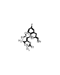 C=C(C)C(/N=C(\C)CC)=C(/Nc1ccc(F)cc1C/C(=C/CCC)CC)P(C)CC